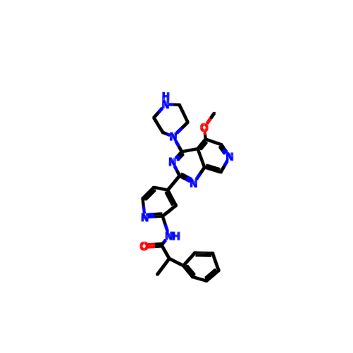 COc1cncc2nc(-c3ccnc(NC(=O)C(C)c4ccccc4)c3)nc(N3CCNCC3)c12